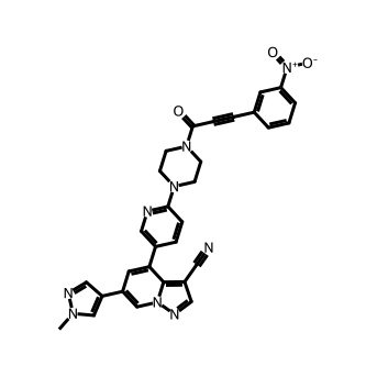 Cn1cc(-c2cc(-c3ccc(N4CCN(C(=O)C#Cc5cccc([N+](=O)[O-])c5)CC4)nc3)c3c(C#N)cnn3c2)cn1